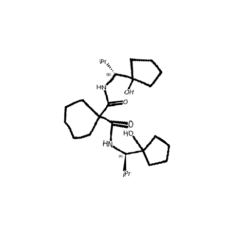 CC(C)[C@@H](NC(=O)C1(C(=O)N[C@H](C(C)C)C2(O)CCCC2)CCCCC1)C1(O)CCCC1